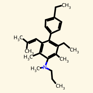 CCCN(C)c1c(C)c(C=C(C)C)c(-c2ccc(CC)cc2)c(CC)c1C